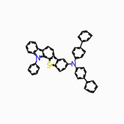 c1ccc(-c2ccc(N(c3ccc(-c4ccccc4)cc3)c3ccc4sc5c(ccc6c7ccccc7n(-c7ccccc7)c65)c4c3)cc2)cc1